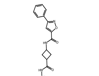 NNC(=O)C1CC(NC(=O)c2cc(-c3ccccc3)no2)C1